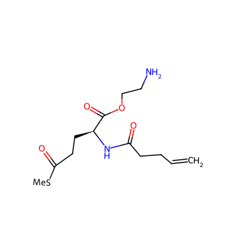 C=CCCC(=O)N[C@@H](CCC(=O)SC)C(=O)OCCN